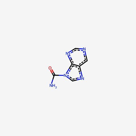 NC(=O)n1cnc2cncnc21